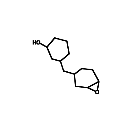 OC1CCCC(CC2CCC3OC3C2)C1